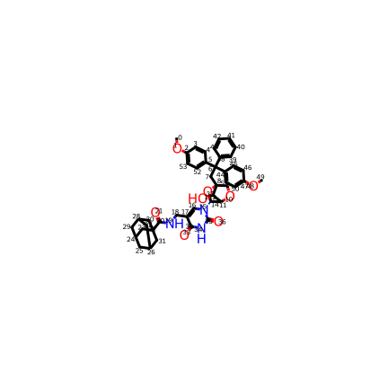 COc1ccc(C(CC23COC(C2O)[C@H](n2cc(CNC(=O)C45CC6CC(CC(C6)C4)C5)c(=O)[nH]c2=O)O3)(c2ccccc2)c2ccc(OC)cc2)cc1